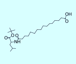 CC(C)CC(NC(=O)CCCCCCCCCCCCCCC(=O)O)C(=O)OC(C)(C)C